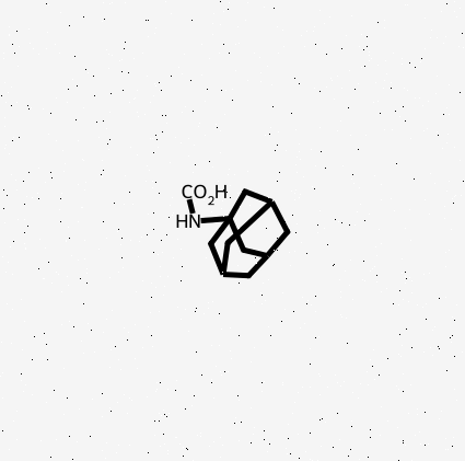 O=C(O)NC12CC3CC(CC(C3)C1)C2